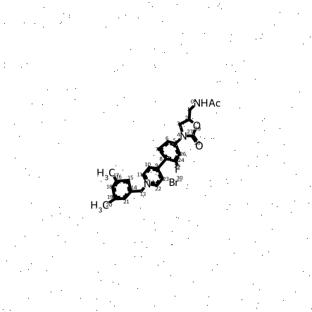 CC(=O)NCC1CN(c2ccc(-c3cc[n+](Cc4cc(C)cc(C)c4)cc3)c(F)c2)C(=O)O1.[Br-]